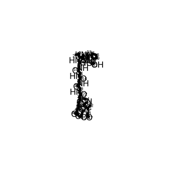 CC(C)[C@H](NC(=O)CNC(=O)CNC(=O)CNC(=O)CNC(=O)CN1CCN2CCN3CCN(CC1)CC(=O)OC(OC(=O)C2)OC(=O)C3)C(=O)N[C@H](C)C(=O)N1CCC[C@H]1B(O)O